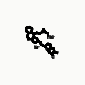 O=C([O-])CC1CC1CSC1c2ccccc2C=Cc2ccc(C=Cc3ccc4cc(F)c(Cl)cc4n3)cc21.[Na+]